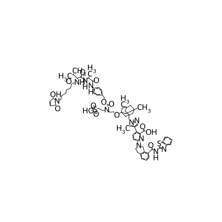 Cc1c(-c2ccc(N3CCc4cccc(C(=O)Nc5nc6ccccc6s5)c4C3)nc2C(=O)O)cnn1CC12CC3(C)CC(C)(C1)CC(OCCN(CCS(=O)(=O)O)C(=O)OCc1ccc(NC(=O)[C@H](C)NC(=O)[C@@H](NC(=O)CCCCCN4C(=O)C=CC4O)C(C)C)cc1)(C3)C2